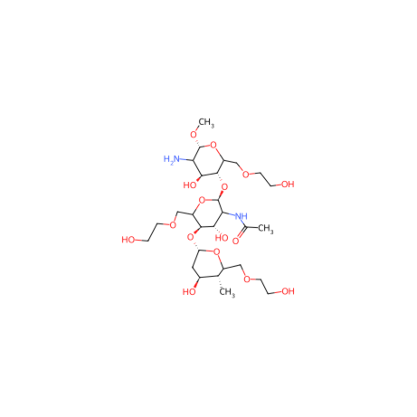 CO[C@@H]1OC(COCCO)[C@H](O[C@@H]2OC(COCCO)[C@H](O[C@H]3C[C@H](O)[C@@H](C)C(COCCO)O3)[C@@H](O)C2NC(C)=O)[C@@H](O)C1N